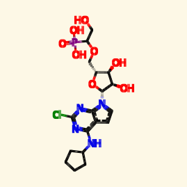 O=P(O)(O)C(CO)OC[C@H]1O[C@@H](n2ccc3c(NC4CCCC4)nc(Cl)nc32)[C@H](O)[C@@H]1O